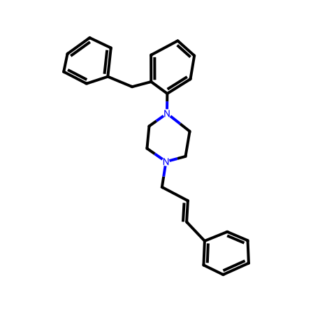 C(=Cc1ccccc1)CN1CCN(c2ccccc2Cc2ccccc2)CC1